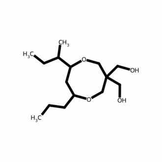 CCCC1CC(C(C)CC)OCC(CO)(CO)CO1